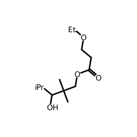 CCOCCC(=O)OCC(C)(C)C(O)C(C)C